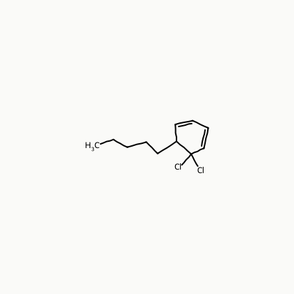 CCCCCC1C=CC=CC1(Cl)Cl